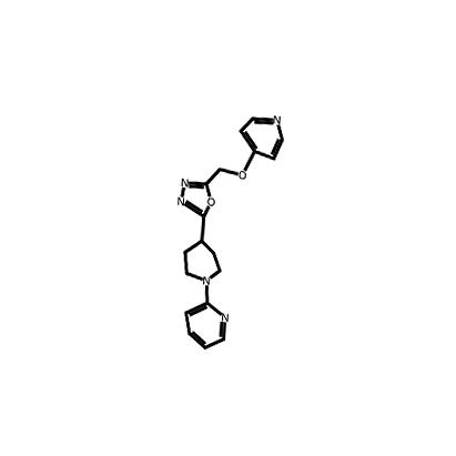 c1ccc(N2CCC(c3nnc(COc4ccncc4)o3)CC2)nc1